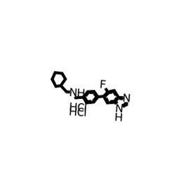 Cl.Cl.Fc1cc2nc[nH]c2cc1-c1ccc(CNCC2CCCCC2)cc1